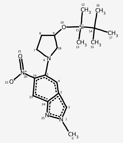 Cn1cc2cc(N3CCC(O[Si](C)(C)C(C)(C)C)C3)c([N+](=O)[O-])cc2n1